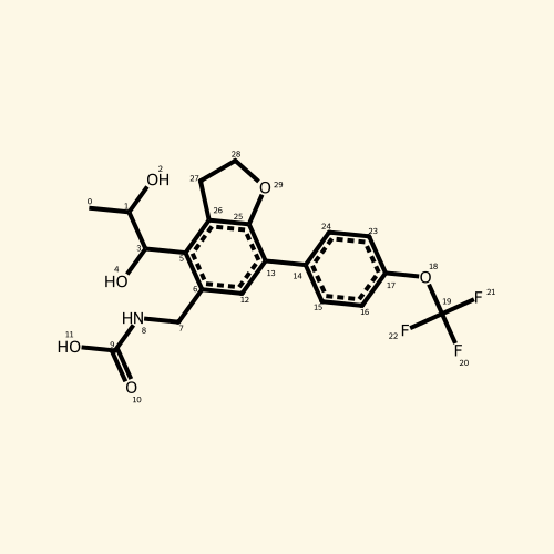 CC(O)C(O)c1c(CNC(=O)O)cc(-c2ccc(OC(F)(F)F)cc2)c2c1CCO2